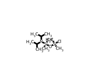 CC(C)N(C(C)C)[Si](C)(C)O[Si](C)(C)Cl